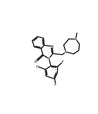 CN1CCCN(Cc2nc3ccccc3c(=O)n2-c2c(F)cc(F)cc2Cl)CC1